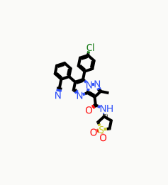 Cc1nn2c(-c3ccc(Cl)cc3)c(-c3ccccc3C#N)cnc2c1C(=O)N[C@@H]1CCS(=O)(=O)C1